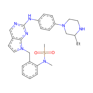 CCC1CN(c2ccc(Nc3ncc4ccn(Cc5ccccc5N(C)S(C)(=O)=O)c4n3)cc2)CCN1